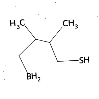 BCC(C)C(C)CS